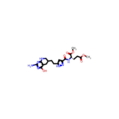 COC(=O)CC[C@H](NC(=O)c1cc(CCC2CNc3nc(N)nc(O)c3C2)[nH]n1)C(=O)OC